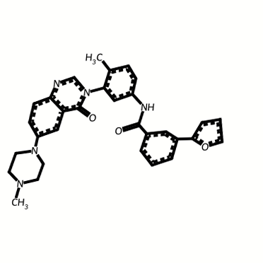 Cc1ccc(NC(=O)c2cccc(-c3ccco3)c2)cc1-n1cnc2ccc(N3CCN(C)CC3)cc2c1=O